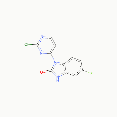 O=c1[nH]c2cc(F)ccc2n1-c1ccnc(Cl)n1